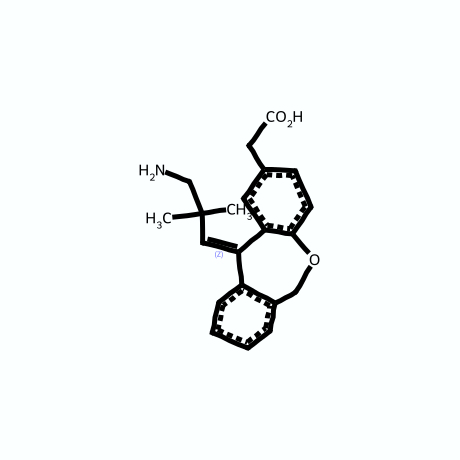 CC(C)(/C=C1/c2ccccc2COc2ccc(CC(=O)O)cc21)CN